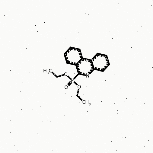 CCOP(=O)(OCC)c1nc2ccccc2c2ccccc12